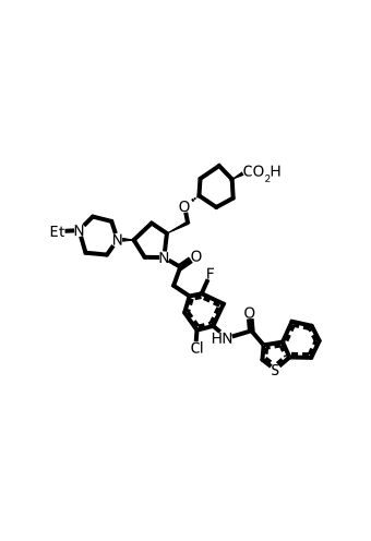 CCN1CCN([C@H]2C[C@@H](CO[C@H]3CC[C@H](C(=O)O)CC3)N(C(=O)Cc3cc(Cl)c(NC(=O)c4csc5ccccc45)cc3F)C2)CC1